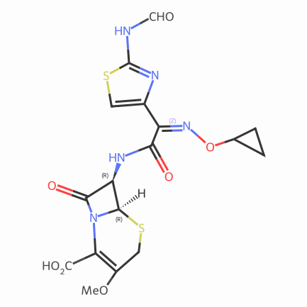 COC1=C(C(=O)O)N2C(=O)[C@@H](NC(=O)/C(=N\OC3CC3)c3csc(NC=O)n3)[C@H]2SC1